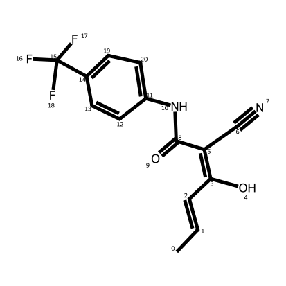 CC=C/C(O)=C(/C#N)C(=O)Nc1ccc(C(F)(F)F)cc1